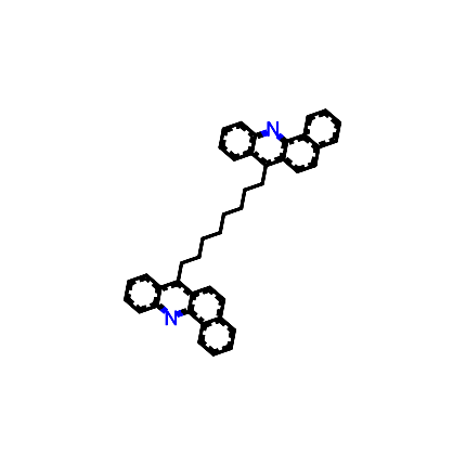 c1ccc2c(c1)ccc1c(CCCCCCCCc3c4ccccc4nc4c3ccc3ccccc34)c3ccccc3nc12